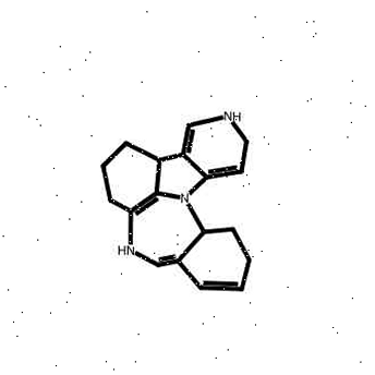 C1=CC2=CNC3=C4C(CCC3)C3=CNCC=C3N4C2CC1